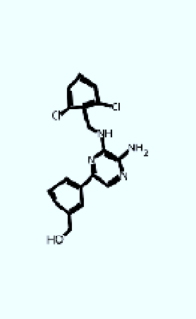 Nc1ncc(-c2cccc(CO)c2)nc1NCc1c(Cl)cccc1Cl